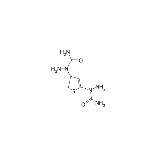 NC(=O)N(N)C1=CC(N(N)C(N)=O)CS1